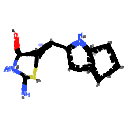 N=C1NC(=O)/C(=C/c2cc3ccccc3[nH]2)S1